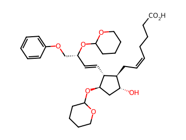 O=C(O)CCC/C=C\C[C@@H]1[C@@H](/C=C/[C@H](COc2ccccc2)OC2CCCCO2)[C@H](OC2CCCCO2)C[C@H]1O